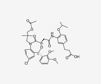 COc1cccc([C@H]2O[C@H](CC(=O)Nc3cc(CCC(=O)O)ccc3OC(C)C)C(=O)N(CC(C)(C)COC(C)=O)c3ccc(Cl)cc32)c1OC